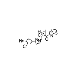 CC(Cn1ccc(-c2ccc(C#N)c(Cl)c2)n1)NC(=O)c1cn2ccsc2n1